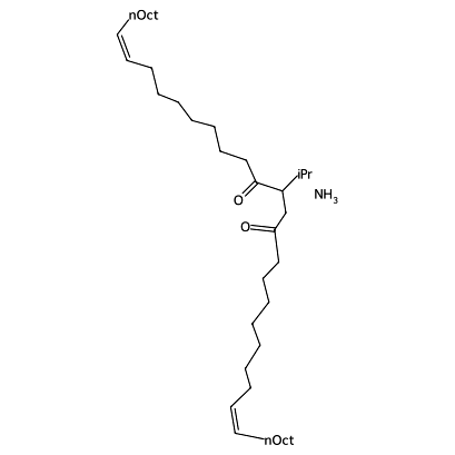 CCCCCCCC/C=C\CCCCCCCC(=O)CC(C(=O)CCCCCCC/C=C\CCCCCCCC)C(C)C.N